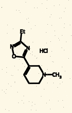 CCc1noc(C2=CCCN(C)C2)n1.Cl